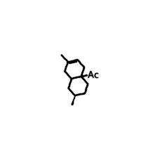 CC(=O)C12CC=C(C)CC1C[C@H](C)CC2